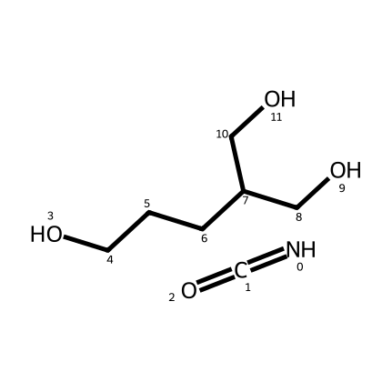 N=C=O.OCCCC(CO)CO